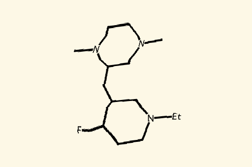 CCN1CCC(F)C(CC2CN(C)CCN2C)C1